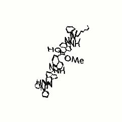 C/C=C\CC/C=C/N(C1=Nc2cccc3c(C4=C(O)C(C5C=CC6=C7C(=CC=CC75)NC(c5ccc7c8c(cccc58)N=C(N(C5=CCCC=C5)c5ccccc5)N7)=N6)=C4OC)ccc(c23)N1)c1ccccc1